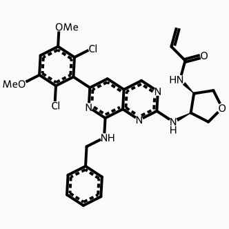 C=CC(=O)N[C@H]1COC[C@H]1Nc1ncc2cc(-c3c(Cl)c(OC)cc(OC)c3Cl)nc(NCc3ccccc3)c2n1